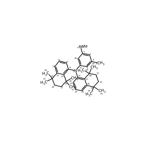 CNc1cc(C)cc(N(c2cccc3c2C(C)(C)CCC3(C)C)c2cccc3c2C(C)(C)CCC3(C)C)c1